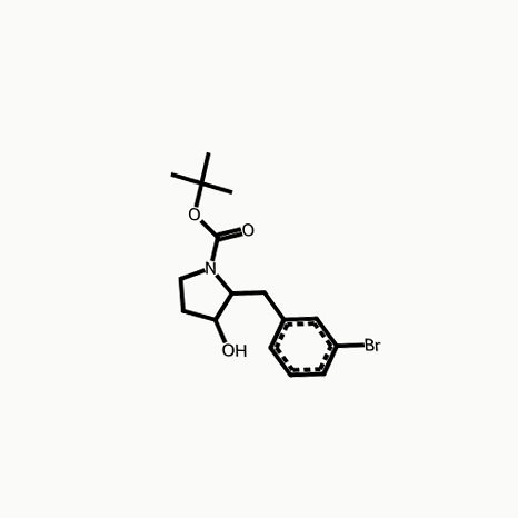 CC(C)(C)OC(=O)N1CCC(O)C1Cc1cccc(Br)c1